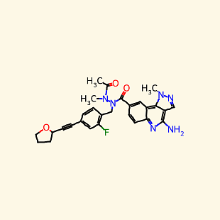 CC(=O)N(C)N(Cc1ccc(C#CC2CCCO2)cc1F)C(=O)c1ccc2nc(N)c3cnn(C)c3c2c1